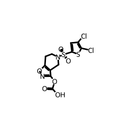 O=C(O)Oc1noc2c1CN(S(=O)(=O)c1cc(Cl)c(Cl)s1)CC2